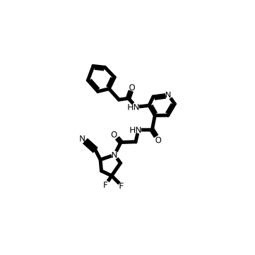 N#CC1CC(F)(F)CN1C(=O)CNC(=O)c1ccncc1NC(=O)Cc1ccccc1